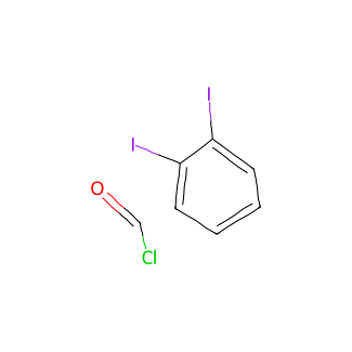 Ic1ccccc1I.O=CCl